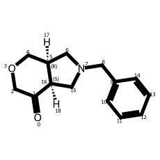 O=C1COC[C@H]2CN(Cc3ccccc3)C[C@@H]12